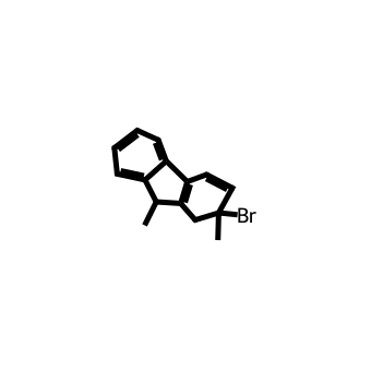 CC1C2=C(C=CC(C)(Br)C2)c2ccccc21